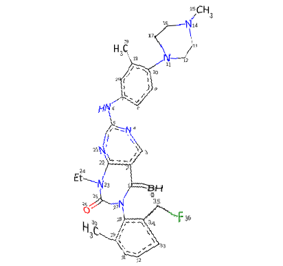 B=C1c2cnc(Nc3ccc(N4CCN(C)CC4)c(C)c3)nc2N(CC)C(=O)N1c1c(C)cccc1CF